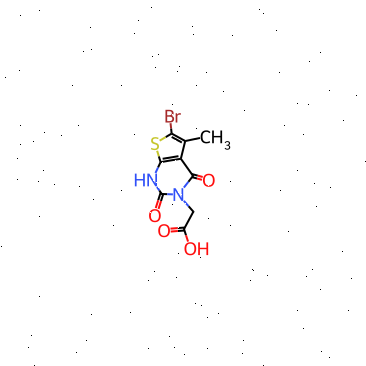 Cc1c(Br)sc2[nH]c(=O)n(CC(=O)O)c(=O)c12